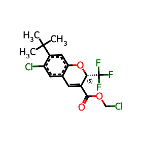 CC(C)(C)c1cc2c(cc1Cl)C=C(C(=O)OCCl)[C@@H](C(F)(F)F)O2